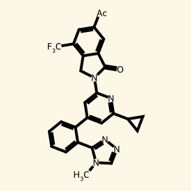 CC(=O)c1cc2c(c(C(F)(F)F)c1)CN(c1cc(-c3ccccc3-c3nncn3C)cc(C3CC3)n1)C2=O